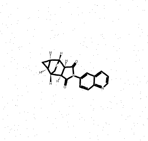 O=C1[C@@H]2[C@@H]3CC[C@@H]([C@H]4C[C@H]43)[C@@H]2C(=O)N1c1ccc2ncccc2c1